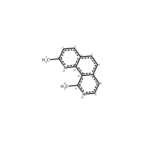 Cc1ccc2ccc3ccnc(C)c3c2n1